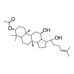 CC(=O)O[C@H]1CC[C@@]2(C)C(CC[C@]3(C)C2C[C@@H](O)C2C([C@@](C)(O)CCC=C(C)C)CC[C@]23C)C1(C)C